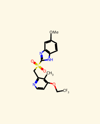 COc1ccc2[nH]c(S(=O)(=O)Cc3nccc(OCC(F)(F)F)c3C)nc2c1